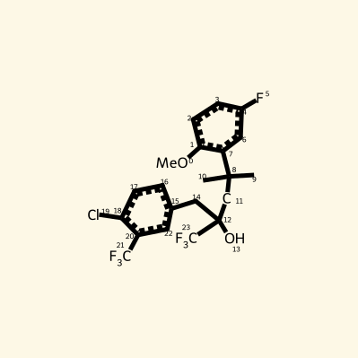 COc1ccc(F)cc1C(C)(C)CC(O)(Cc1ccc(Cl)c(C(F)(F)F)c1)C(F)(F)F